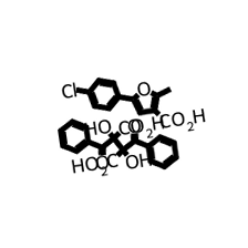 Cc1oc(-c2ccc(Cl)cc2)cc1C(=O)O.O=C(O)C(O)(C(=O)c1ccccc1)C(O)(C(=O)O)C(=O)c1ccccc1